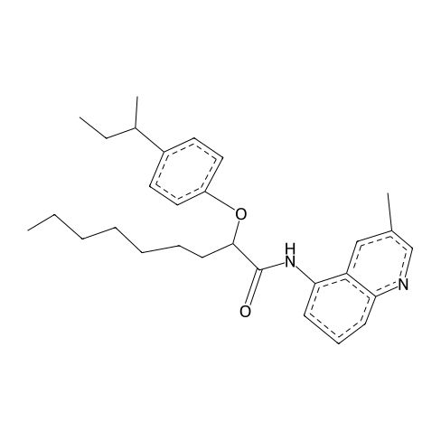 CCCCCCCC(Oc1ccc(C(C)CC)cc1)C(=O)Nc1cccc2ncc(C)cc12